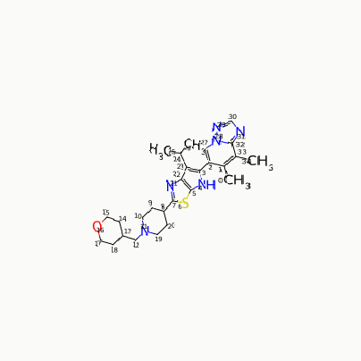 Cc1c(-c2[nH]c3sc(C4CCN(CC5CCOCC5)CC4)nc3c2C(C)C)cn2ncnc2c1C